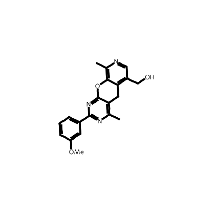 COc1cccc(-c2nc(C)c3c(n2)Oc2c(C)ncc(CO)c2C3)c1